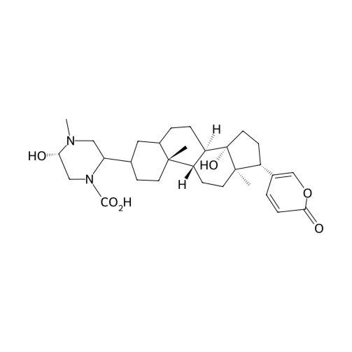 CN1CC(C2CC[C@]3(C)C(CC[C@@H]4[C@@H]3CC[C@]3(C)[C@@H](c5ccc(=O)oc5)CC[C@]43O)C2)N(C(=O)O)C[C@@H]1O